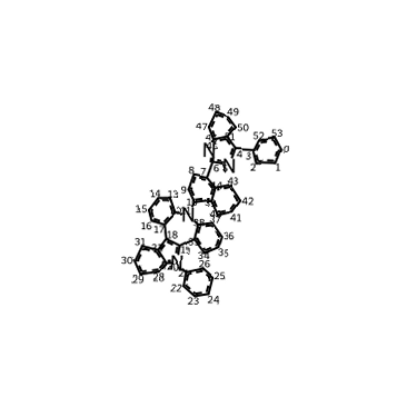 c1ccc(-c2nc(-c3ccc(N4c5ccccc5-c5c(n(-c6ccccc6)c6ccccc56)-c5ccccc54)c4ccccc34)nc3ccccc23)cc1